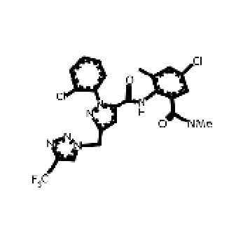 CNC(=O)c1cc(Cl)cc(C)c1NC(=O)c1cc(Cn2cc(C(F)(F)F)nn2)nn1-c1ccccc1Cl